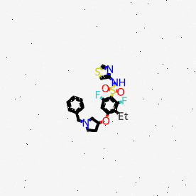 CCc1c(OC2CCN(Cc3ccccc3)C2)cc(F)c(S(=O)(=O)Nc2cscn2)c1F